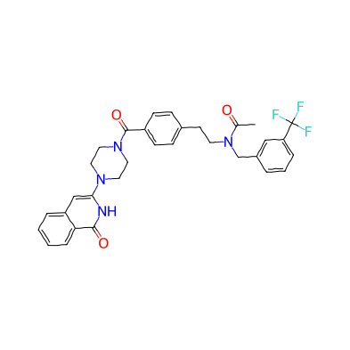 CC(=O)N(CCc1ccc(C(=O)N2CCN(c3cc4ccccc4c(=O)[nH]3)CC2)cc1)Cc1cccc(C(F)(F)F)c1